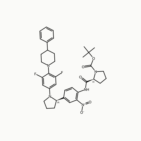 CC(C)(C)OC(=O)N1CCC[C@H]1C(=O)Nc1ccc([C@H]2CCCN2c2cc(F)c(N3CCC(c4ccccc4)CC3)c(F)c2)cc1[N+](=O)[O-]